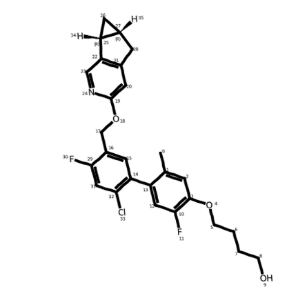 Cc1cc(OCCCCO)c(F)cc1-c1cc(COc2cc3c(cn2)[C@@H]2C[C@@H]2C3)c(F)cc1Cl